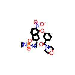 O=C(c1cccc(Oc2c([N+](=O)[O-])ccc3c2CC[C@@H]3OP(=O)(N2CC2)N2CC2)c1)N1CCOCC1